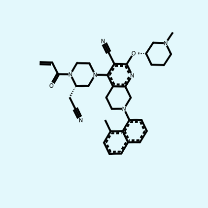 C=CC(=O)N1CCN(c2c(C#N)c(O[C@H]3CCCN(C)C3)nc3c2CCN(c2cccc4cccc(C)c24)C3)C[C@@H]1CC#N